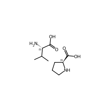 CC(C)[C@H](N)C(=O)O.O=C(O)[C@@H]1CCCN1